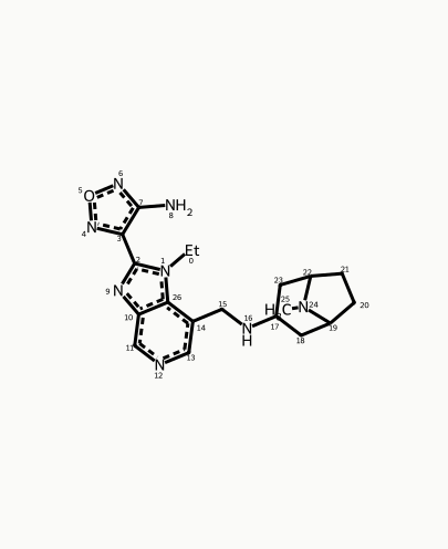 CCn1c(-c2nonc2N)nc2cncc(CNC3CC4CCC(C3)N4C)c21